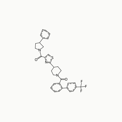 O=C(c1csc(C2CCN(C(=O)c3ccccc3-c3ccc(C(F)(F)F)cc3)CC2)n1)N1CCC(c2ccccc2)C1